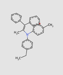 CCc1ccc(N(C(C)=C(c2ccccc2)c2ccccc2)c2ccc(C)cc2)cc1